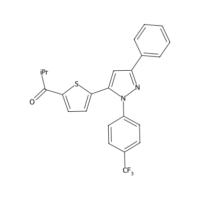 CC(C)C(=O)c1ccc(-c2cc(-c3ccccc3)nn2-c2ccc(C(F)(F)F)cc2)s1